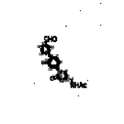 CC(=O)NC[C@H]1CN(c2ccc(-n3ccc(C=O)c3)c(F)c2)C(=O)O1